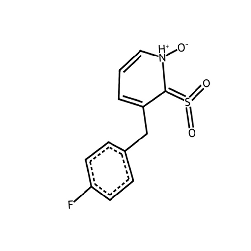 O=S(=O)=C1C(Cc2ccc(F)cc2)=CC=C[NH+]1[O-]